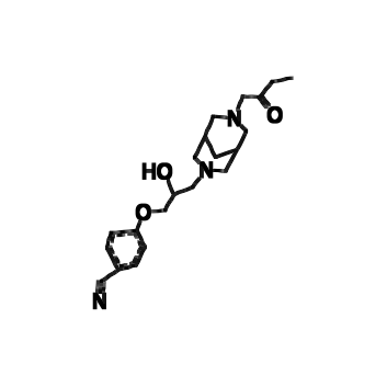 CCC(=O)CN1CC2CC(C1)CN(CC(O)COc1ccc(C#N)cc1)C2